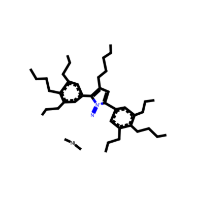 CCCCCC1=C(c2cc(CCC)c(CCCC)c(CCC)c2)[N+](=[N-])C(c2cc(CCC)c(CCCC)c(CCC)c2)=C1.[CH3][Ni][CH3]